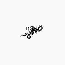 CCOC(=O)c1cc2nc(C3CCCCC3)cc(O)n2n1